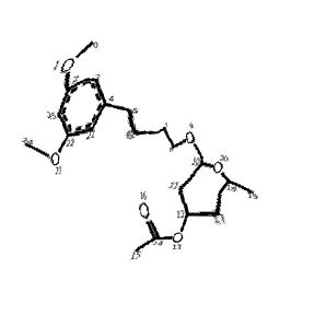 COc1cc(CCCCOC2CC(OC(C)=O)CC(C)O2)cc(OC)c1